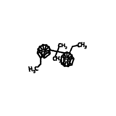 CC[C]12[CH]3[CH]4[CH]5[C]1(C(C)(C)[C]16[CH]7[CH]8[CH]9[C]1(CC)[Fe]89761%10%11%12[CH]6[CH]1[CH]%10[CH]%11[CH]6%12)[Fe]43521678[CH]2[CH]1[CH]6[CH]7[CH]28